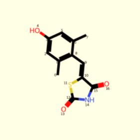 Cc1cc(O)cc(C)c1C=C1SC(=O)NC1=O